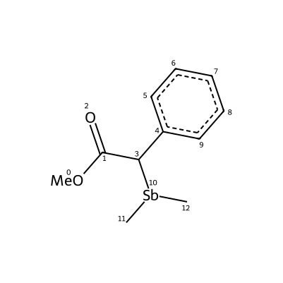 COC(=O)[CH](c1ccccc1)[Sb]([CH3])[CH3]